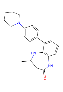 C[C@@H]1CC(=O)Nc2cccc(-c3ccc(N4CCCCC4)cc3)c2N1